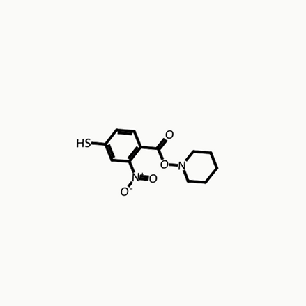 O=C(ON1CCCCC1)c1ccc(S)cc1[N+](=O)[O-]